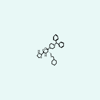 O=C(N[C@@H](CSCC1CCCCC1)C(=O)N1CCN(C(c2ccccc2)c2ccccc2)CC1)C1N[CH]CS1